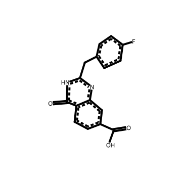 O=C(O)c1ccc2c(=O)[nH]c(Cc3ccc(F)cc3)nc2c1